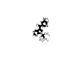 CCC(C)(C)n1cc(C(=O)c2cncc(N)c2)c2cncnc21